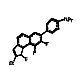 CCCc1ccc(-c2cc3ccc4c(c3c(F)c2F)C(F)C(CC)=C4)cc1